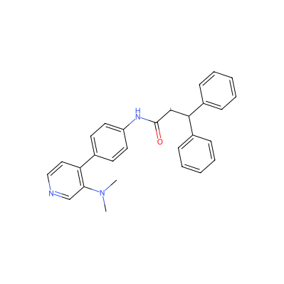 CN(C)c1cnccc1-c1ccc(NC(=O)[CH]C(c2ccccc2)c2ccccc2)cc1